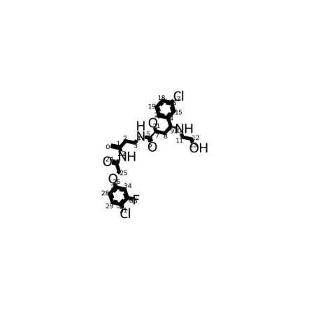 C=C(CCNC(=O)[C@@H]1C[C@H](NCCO)c2cc(Cl)ccc2O1)NC(=O)COc1ccc(Cl)c(F)c1